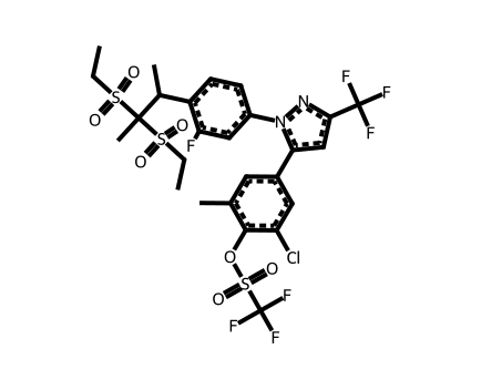 CCS(=O)(=O)C(C)(C(C)c1ccc(-n2nc(C(F)(F)F)cc2-c2cc(C)c(OS(=O)(=O)C(F)(F)F)c(Cl)c2)cc1F)S(=O)(=O)CC